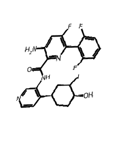 Nc1cc(F)c(-c2c(F)cccc2F)nc1C(=O)Nc1cnccc1[C@@H]1CC[C@H](O)C(I)C1